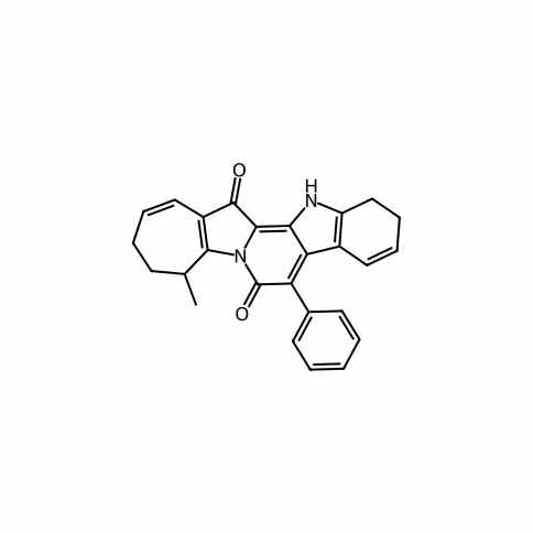 CC1CCC=CC2=C1n1c(c3[nH]c4c(c3c(-c3ccccc3)c1=O)C=CCC4)C2=O